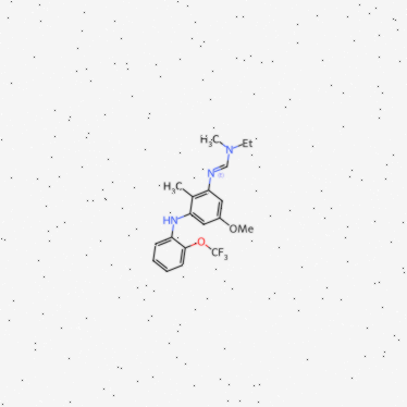 CCN(C)/C=N/c1cc(OC)cc(Nc2ccccc2OC(F)(F)F)c1C